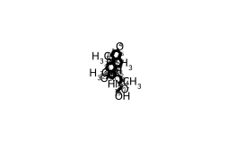 CC1=CC(=O)C=C2CC[C@H]3[C@@H]4[C@@H](C[C@@H](C)NC(=O)CO)CC(=O)[C@@]4(C)CC[C@@H]3[C@@]12C